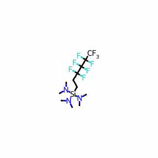 CN(C)[Si](CCC(F)(F)C(F)(F)C(F)(F)C(F)(F)F)(N(C)C)N(C)C